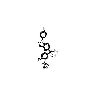 OC(c1ccc(F)c(-c2cnco2)c1)(c1ccc2c(cnn2-c2ccc(F)cc2)c1)C(F)(F)F